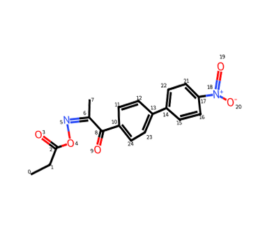 CCC(=O)O/N=C(/C)C(=O)c1ccc(-c2ccc([N+](=O)[O-])cc2)cc1